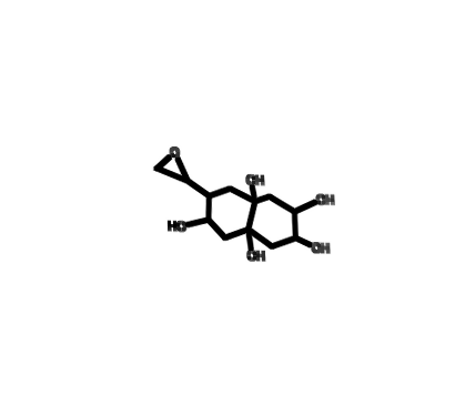 OC1CC2(O)CC(O)C(C3CO3)CC2(O)CC1O